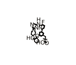 CC(C)(Cc1cccc(-c2ccc(F)c(Nc3cncc(N4CCCC(OC5=C(O)CCC=C5)C4)n3)n2)c1)C(=O)O